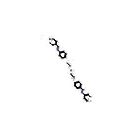 CN1C=CC(/C=C/c2ccc(NCCSSCCNc3ccc(/C=C/c4ccncc4)cc3)cc2)=CC1